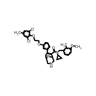 COc1cccc(CN(C(=O)C2=C(c3cccc(OCCOc4c(Cl)cc(C)cc4Cl)c3)CC3CNCC2N3)C2CC2)c1C